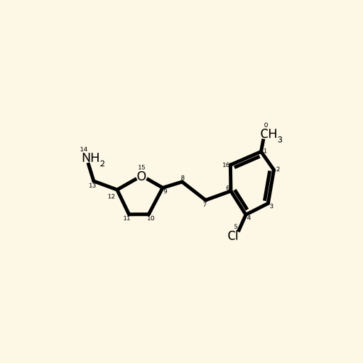 Cc1ccc(Cl)c(CCC2CCC(CN)O2)c1